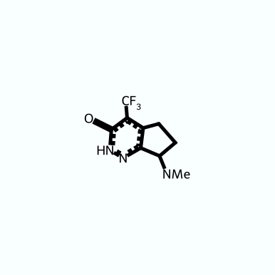 CNC1CCc2c1n[nH]c(=O)c2C(F)(F)F